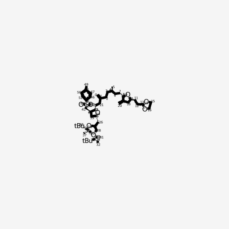 C=C(CC[C@@H](C)CC[C@@H]1O[C@@H](CCC2OCCO2)CC1=C)CC[C@@H]1O[C@H](CC(CO[Si](C)(C)C(C)(C)C)O[Si](C)(C)C(C)(C)C)C[C@H]1CS(=O)(=O)c1ccc(C)cc1